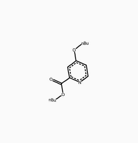 CCCCOC(=O)c1cc(OCCCC)ccn1